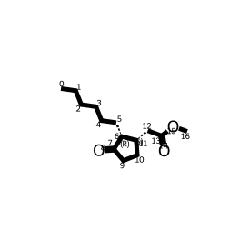 CCCCCC[C@H]1C(=O)CC[C@H]1CC(=O)OC